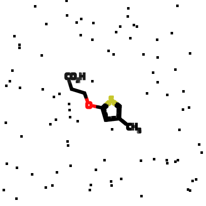 Cc1csc(OCCC(=O)O)c1